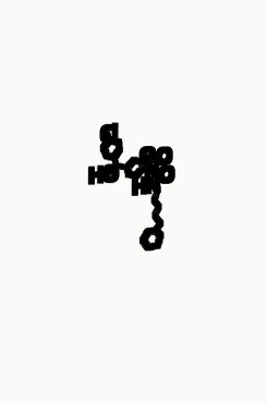 O=C(NCCCCCc1ccccc1)n1c(=O)oc2cc(C(O)c3ccc(Cl)cc3)ccc21